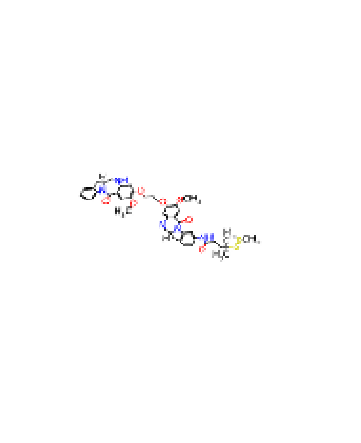 COc1cc2c(cc1OCCCOc1cc3c(cc1OC)C(=O)N1c4ccccc4C[C@H]1CN3)N=C[C@@H]1Cc3ccc(NC(=O)CCC(C)(C)SSC)cc3N1C2=O